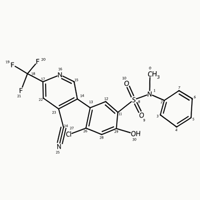 CN(c1ccccc1)S(=O)(=O)c1cc(-c2cnc(C(F)(F)F)cc2C#N)c(Cl)cc1O